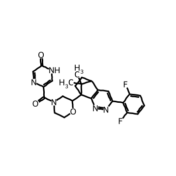 CC1(C)C2CCC1(C1CN(C(=O)c3c[nH]c(=O)cn3)CCO1)c1nnc(-c3c(F)cccc3F)cc12